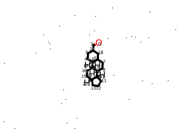 O=CC1CC[C@H]2C(CC[C@H]3[C@@H]4CCC[C@H]4CC[C@@H]32)C1